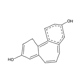 OC1=CCC2=c3ccc(O)cc3=CC=CC2=C1